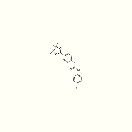 CC1(C)OC(c2ccc(CC(=O)Nc3ccc(F)cc3)cc2)OC1(C)C